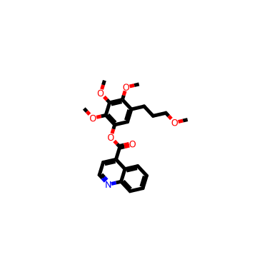 COCCCc1cc(OC(=O)c2ccnc3ccccc23)c(OC)c(OC)c1OC